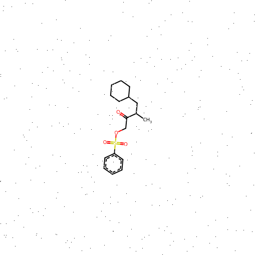 CC(CC1CCCCC1)C(=O)COS(=O)(=O)c1ccccc1